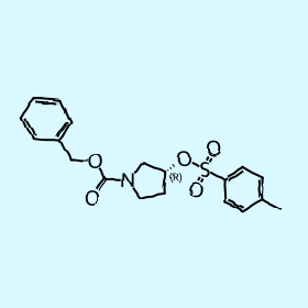 Cc1ccc(S(=O)(=O)O[C@@H]2CCN(C(=O)OCc3ccccc3)C2)cc1